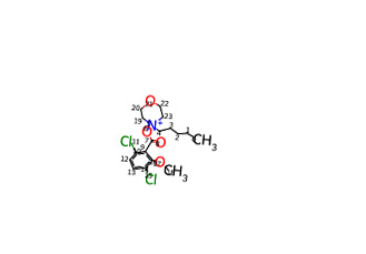 CCCCC[N+]1(OC(=O)c2c(Cl)ccc(Cl)c2OC)CCOCC1